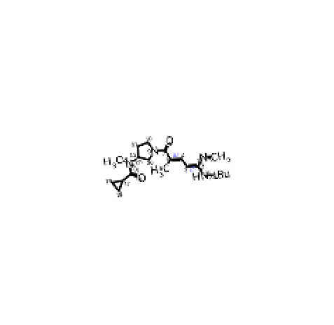 C=N/C(=C\C=C(/C)C(=O)N1CC[C@H](N(C)C(=O)C2CC2)C1)NC(C)(C)C